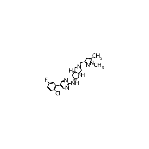 Cc1cc(CN2C[C@H]3C[C@@H](Nc4ncc(-c5cc(F)ccc5Cl)cn4)C[C@H]3C2)nn1C